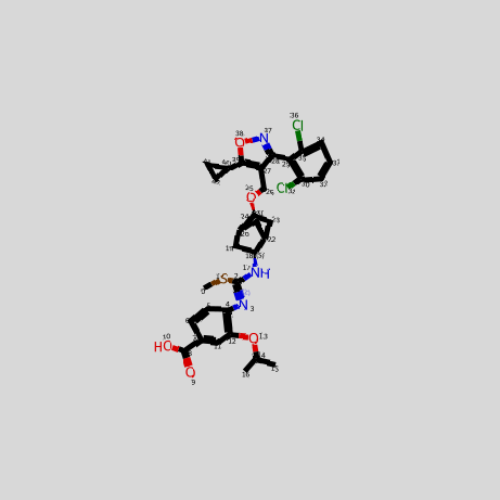 CS/C(=N\c1ccc(C(=O)O)cc1OC(C)C)N[C@H]1CC2CC1C[C@@H]2OCc1c(-c2c(Cl)cccc2Cl)noc1C1CC1